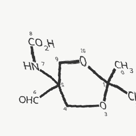 CC1(C)OCC(C=O)(NC(=O)O)CO1